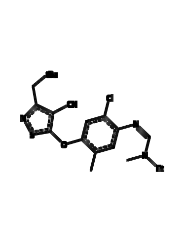 CCN(C)/C=N\c1cc(C)c(Oc2snc(CC(C)(C)C)c2C#N)cc1Cl